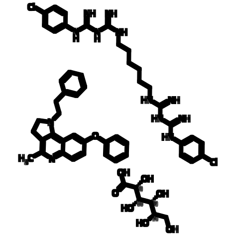 Cc1nc2ccc(Oc3ccccc3)cc2c2c1CCN2CCc1ccccc1.N=C(NCCCCCCNC(=N)NC(=N)Nc1ccc(Cl)cc1)NC(=N)Nc1ccc(Cl)cc1.O=C(O)[C@H](O)[C@@H](O)[C@H](O)[C@H](O)CO